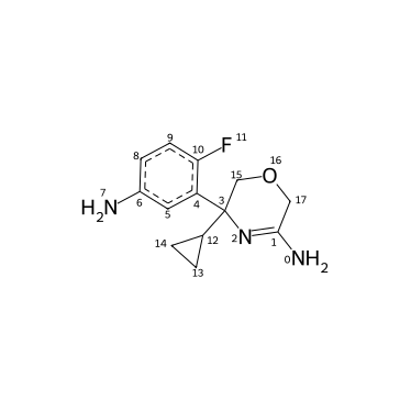 NC1=NC(c2cc(N)ccc2F)(C2CC2)COC1